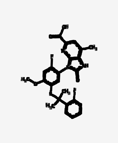 COc1cc(F)c(-n2c(=O)[nH]c3c(C)cc(C(=O)O)nc32)cc1SC(C)(C)c1ccccc1F